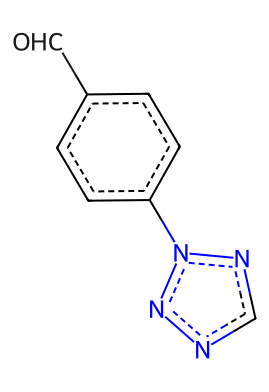 O=Cc1ccc(-n2ncnn2)cc1